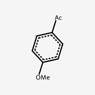 COc1c[c]c(C(C)=O)cc1